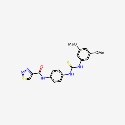 COc1cc(NC(=S)Nc2ccc(NC(=O)c3csnn3)cc2)cc(OC)c1